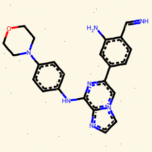 N=Cc1ccc(-c2cn3ccnc3c(Nc3ccc(N4CCOCC4)cc3)n2)cc1N